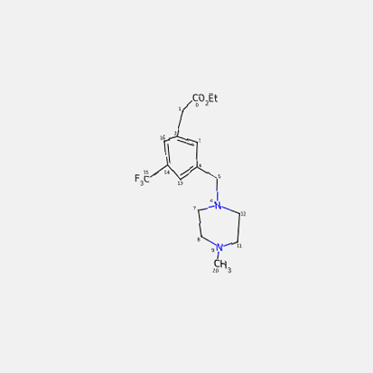 CCOC(=O)Cc1cc(CN2CCN(C)CC2)cc(C(F)(F)F)c1